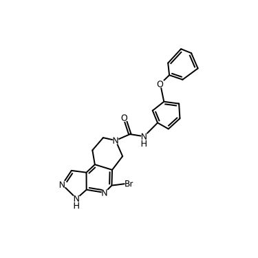 O=C(Nc1cccc(Oc2ccccc2)c1)N1CCc2c(c(Br)nc3[nH]ncc23)C1